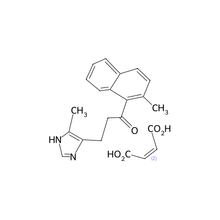 Cc1ccc2ccccc2c1C(=O)CCc1nc[nH]c1C.O=C(O)/C=C\C(=O)O